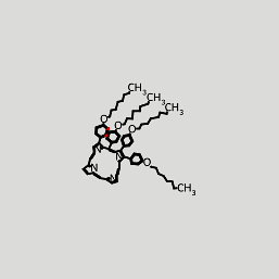 CCCCCCCCOc1ccc(C2=CC3=CC4=NC(=CC5=NC(=CC6=NC(=C(c7ccc(OCCCCCCCC)cc7)C2=N3)C(c2ccc(OCCCCCCCC)cc2)=C6c2ccc(OCCCCCCCC)cc2)C=C5)C=C4)cc1